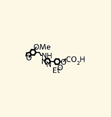 CCOc1cc(-c2cc(NCCc3cc4occc4cc3OC)ncn2)ccc1OCC(=O)O